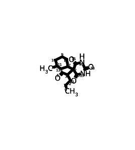 CCCC(C=O)C1(C2CCCC(C)C2)C(=O)NC(=O)NC1=O